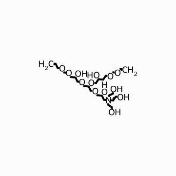 C=CCOCOCC(O)COCC(COCC(O)C[N+](CCO)(CCO)CCO)OCC(O)CCOCOC=C